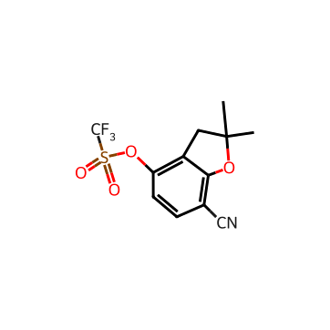 CC1(C)Cc2c(OS(=O)(=O)C(F)(F)F)ccc(C#N)c2O1